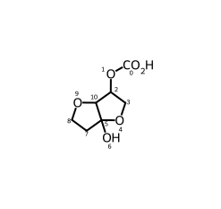 O=C(O)OC1COC2(O)CCOC12